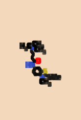 CSc1sc2cc(NC(=O)CCC[N+](C)(C)C)ccc2[n+]1C